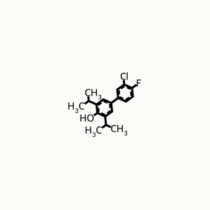 CC(C)c1cc(-c2ccc(F)c(Cl)c2)cc(C(C)C)c1O